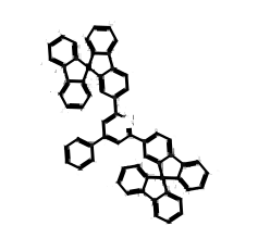 c1ccc(-c2cc(-c3ccc4c(c3)C3(c5ccccc5-c5ccccc53)c3ccccc3-4)nc(-c3ccc4c(c3)C3(c5ccccc5-c5ccccc53)c3ccccc3-4)c2)cc1